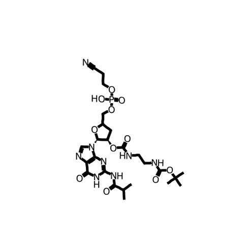 CC(C)C(=O)Nc1nc2c(ncn2[C@@H]2OC(COP(=O)(O)OCCC#N)C[C@H]2OC(=O)NCCNC(=O)OC(C)(C)C)c(=O)[nH]1